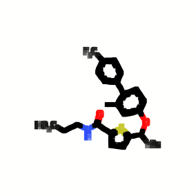 CCCCC(Oc1ccc(-c2ccc(C(F)(F)F)cc2)c(C)c1)c1ccc(C(=O)NCCC(=O)O)s1